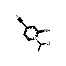 CC(Cl)n1ccc(C#N)cc1=N